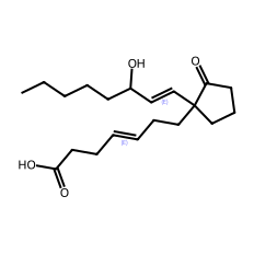 CCCCCC(O)/C=C/C1(CC/C=C/CCC(=O)O)CCCC1=O